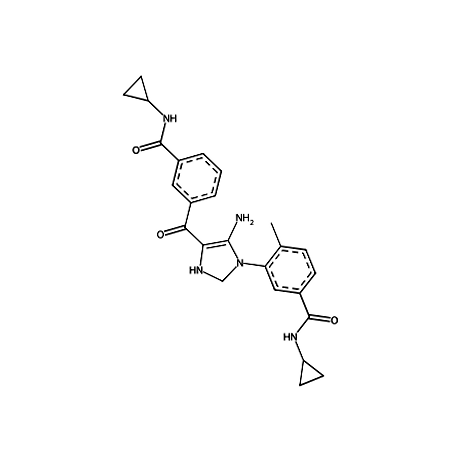 Cc1ccc(C(=O)NC2CC2)cc1N1CNC(C(=O)c2cccc(C(=O)NC3CC3)c2)=C1N